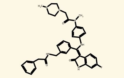 CN1CCN(CC(=O)N(C)c2ccc(NC(=C3C(=O)Nc4cc(F)ccc43)c3cccc(CNC(=O)Cc4ccccc4)c3)cc2)CC1